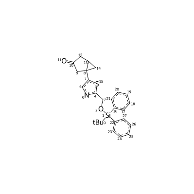 CC(C)(C)[Si](OCc1ncc(C23CC(=O)CC2C3)s1)(c1ccccc1)c1ccccc1